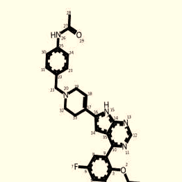 CCOc1ccc(F)cc1-c1ncnc2[nH]c(C3=CCN(Cc4ccc(NC(C)=O)cc4)CC3)cc12